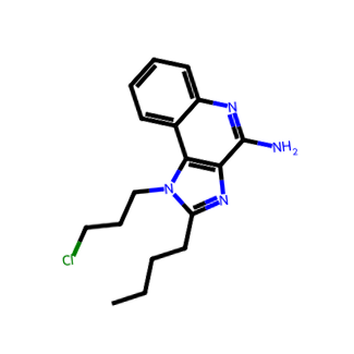 CCCCc1nc2c(N)nc3ccccc3c2n1CCCCl